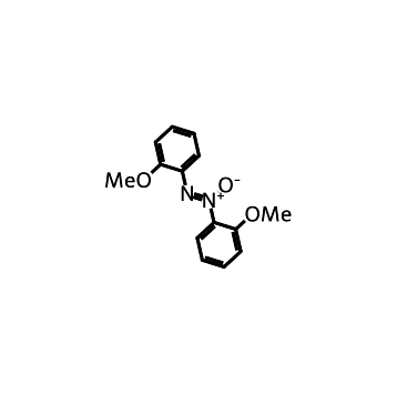 COc1ccccc1N=[N+]([O-])c1ccccc1OC